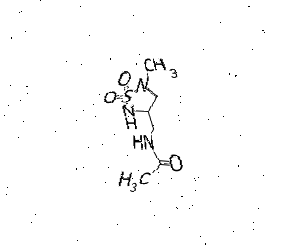 CC(=O)NCC1CN(C)S(=O)(=O)N1